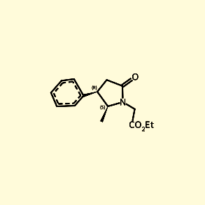 CCOC(=O)CN1C(=O)C[C@H](c2ccccc2)[C@@H]1C